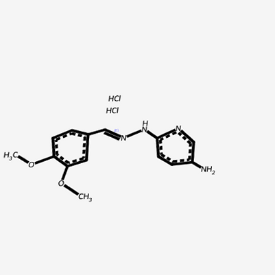 COc1ccc(/C=N/Nc2ccc(N)cn2)cc1OC.Cl.Cl